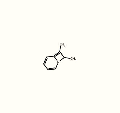 CC1=C2C=CC=CN2C1C